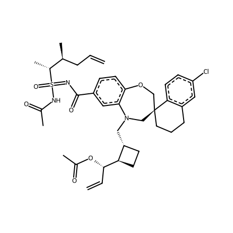 C=CC[C@H](C)[C@@H](C)S(=O)(=NC(=O)c1ccc2c(c1)N(C[C@@H]1CC[C@H]1[C@H](C=C)OC(C)=O)C[C@@]1(CCCc3cc(Cl)ccc31)CO2)NC(C)=O